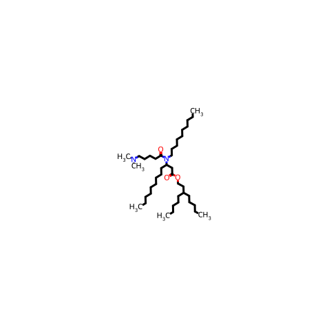 CCCCCCCCCCN(C(=O)CCCCN(C)C)C(CCCCCCCCC)CC(=O)OCCC(CCCCC)CCCCC